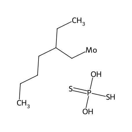 CCCCC(CC)[CH2][Mo].OP(O)(=S)S